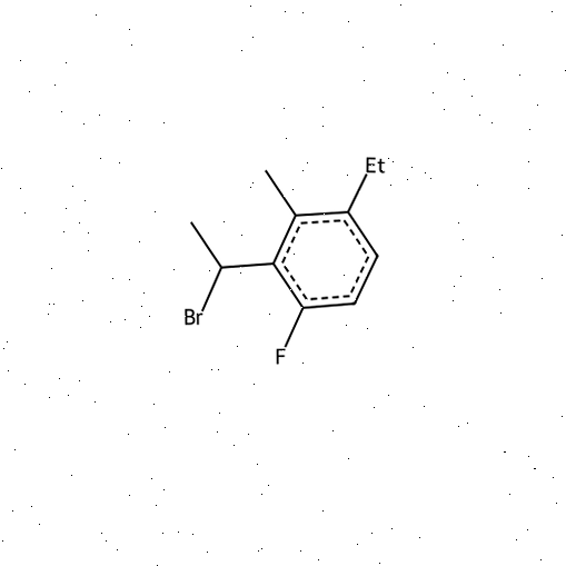 CCc1ccc(F)c(C(C)Br)c1C